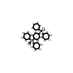 O=P(C1CCCCC1)(C1CCCCC1)C1CCC(P(=O)(C2CCCCC2)C2CCCCC2)CC1